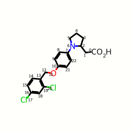 O=C(O)CC1CCCN1c1ccc(OCc2ccc(Cl)cc2Cl)cc1